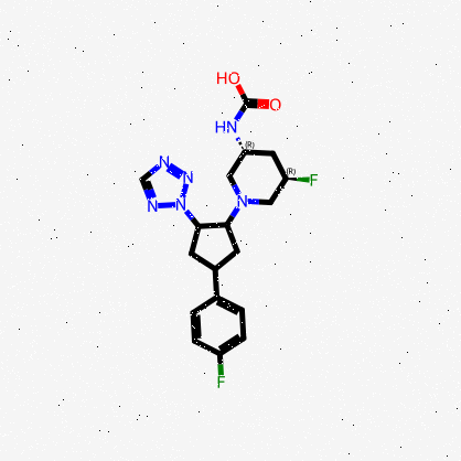 O=C(O)N[C@@H]1C[C@@H](F)CN(C2CC(c3ccc(F)cc3)CC2n2ncnn2)C1